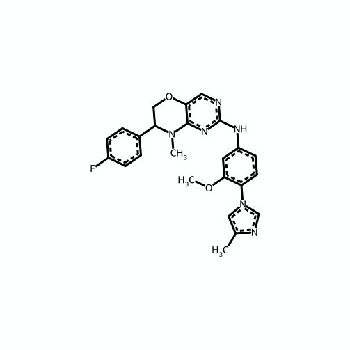 COc1cc(Nc2ncc3c(n2)N(C)C(c2ccc(F)cc2)CO3)ccc1-n1cnc(C)c1